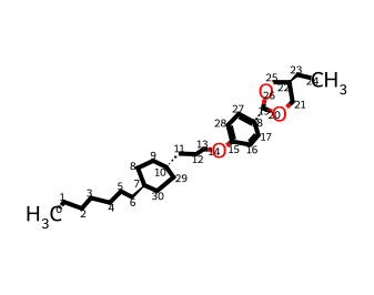 CCCCCCC[C@H]1CC[C@H](CCCOc2ccc([C@H]3OC[C@H](CC)CO3)cc2)CC1